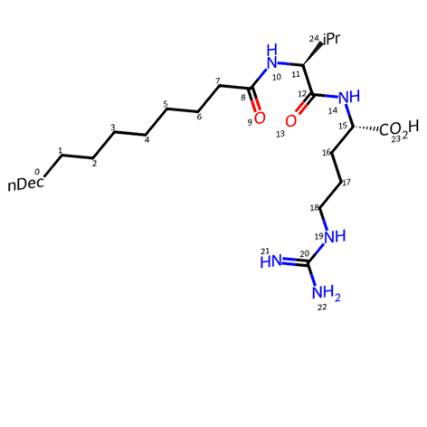 CCCCCCCCCCCCCCCCCC(=O)N[C@H](C(=O)N[C@@H](CCCNC(=N)N)C(=O)O)C(C)C